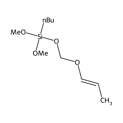 CC=COCO[Si](CCCC)(OC)OC